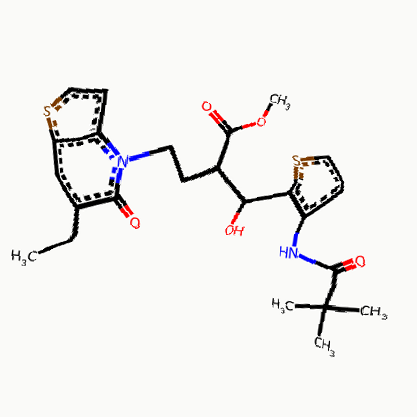 CCc1cc2sccc2n(CCC(C(=O)OC)C(O)c2sccc2NC(=O)C(C)(C)C)c1=O